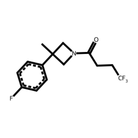 CC1(c2ccc(F)cc2)CN(C(=O)CCC(F)(F)F)C1